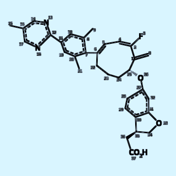 C=C1/C(F)=C\C=C(\c2c(C)cc(-c3ncc(C)cn3)cc2C)CCC[C@H]1Oc1ccc2c(c1)OC[C@H]2CC(=O)O